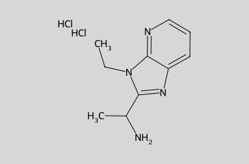 CCn1c(C(C)N)nc2cccnc21.Cl.Cl